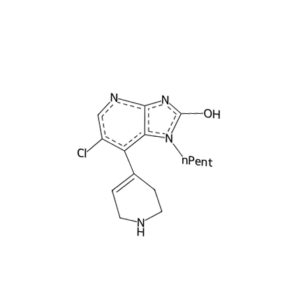 CCCCCn1c(O)nc2ncc(Cl)c(C3=CCNCC3)c21